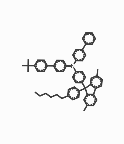 CCCCCCc1ccc(C2(c3ccc(N(c4ccc(-c5ccccc5)cc4)c4ccc(-c5ccc(C(C)(C)C)cc5)cc4)cc3)c3cc(C)ccc3-c3ccc(C)cc32)cc1